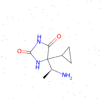 C[C@H](N)C1(C2CC2)NC(=O)NC1=O